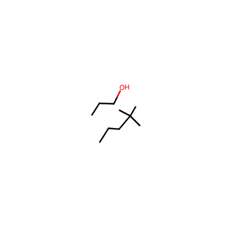 CCCC(C)(C)C.CCCO